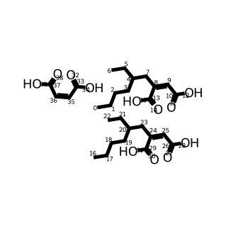 CCCCC(CC)C/C(=C/C(=O)O)C(=O)O.CCCCC(CC)C/C(=C/C(=O)O)C(=O)O.O=C(O)/C=C\C(=O)O